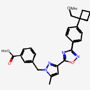 COCC1(c2ccc(-c3noc(-c4cc(C)n(Cc5cccc(C(=O)OC)c5)n4)n3)cc2)CCC1